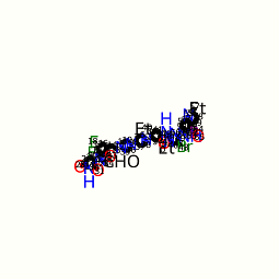 CCOc1cc(N2CCC(N3CCN(CCc4cc(F)c(F)c(N(C)C5CCC(=O)NC5=O)c4OC=O)CC3)CC2)c(CC)cc1Nc1ncc(Br)c(Nc2ccc3nc(CC)ccc3c2P(C)(C)=O)n1